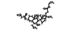 CCOC(=O)CC[C@@H](C)C1CCC2C3C(CC[C@@]21C)[C@@]1(C)CC[C@@H](OC(=O)CC)CC1[C@@H](CC)[C@H]3O